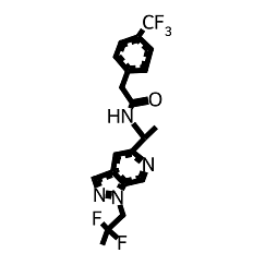 CC(NC(=O)Cc1ccc(C(F)(F)F)cc1)c1cc2cnn(CC(C)(F)F)c2cn1